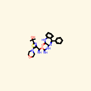 CC(C)(O)c1nc(C(=N)OC(=N)NC2N=C(c3ccccc3)c3ccccc3NC2=O)c(N2CCOCC2)s1